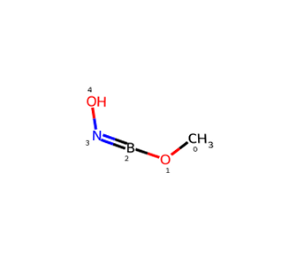 COB=NO